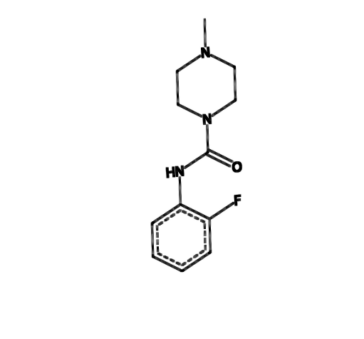 CN1CCN(C(=O)Nc2ccccc2F)CC1